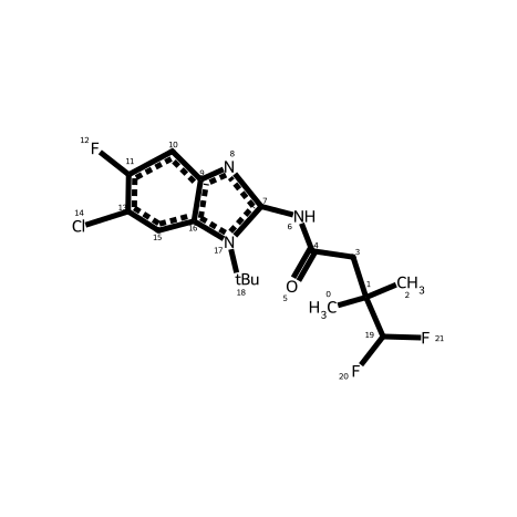 CC(C)(CC(=O)Nc1nc2cc(F)c(Cl)cc2n1C(C)(C)C)C(F)F